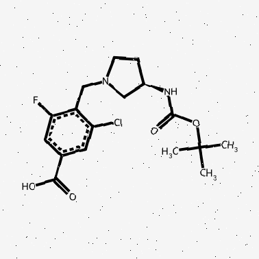 CC(C)(C)OC(=O)N[C@@H]1CCN(Cc2c(F)cc(C(=O)O)cc2Cl)C1